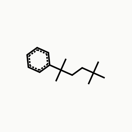 CC(C)(C)CCC(C)(C)c1ccccc1